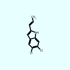 CC=Cc1cc2cc(Cl)c(Cl)cc2[nH]1